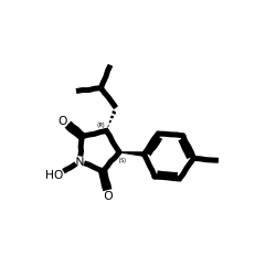 Cc1ccc([C@H]2C(=O)N(O)C(=O)[C@@H]2CC(C)C)cc1